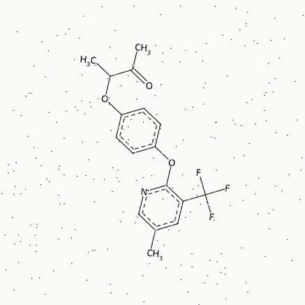 CC(=O)C(C)Oc1ccc(Oc2ncc(C)cc2C(F)(F)F)cc1